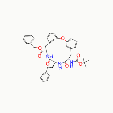 CC(C)(C)OC(=O)N[C@H]1Cc2cccc(c2)Oc2cccc(c2)C[C@@H](C(=O)OCc2ccccc2)NC(=O)[C@H](CCc2ccccc2)NC1=O